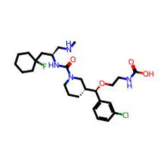 CNC[C@H](CC1(F)CCCCC1)NC(=O)N1CCC[C@@H]([C@@H](OCCNC(=O)O)c2cccc(Cl)c2)C1